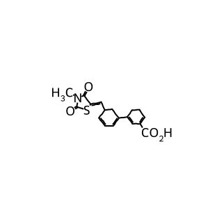 CN1C(=O)S/C(=C\C2C=CC=C(C3=CC(C(=O)O)=CCC3)C2)C1=O